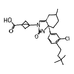 CC1CC[C@]2(c3ccc(CCC(C)(C)C)c(Cl)c3)NC(=O)N(C34CC(C(=O)O)(C3)C4)C=C2C1